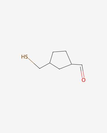 O=CC1CCC(CS)C1